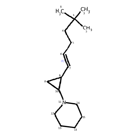 CC(C)(C)CC/C=C/C1CC1N1CCCCC1